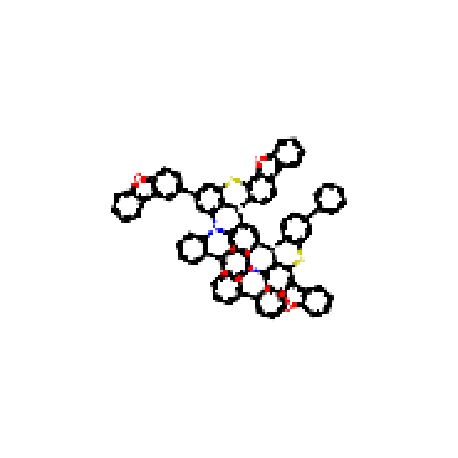 c1ccc(-c2ccc3c(c2)Sc2c4c(cc5oc6ccccc6c25)N(c2ccccc2-c2ccccc2)c2cc5c(cc2B34)B2c3ccc4c(oc6ccccc64)c3Sc3cc(-c4ccc6oc7ccccc7c6c4)cc(c32)N5c2ccccc2-c2ccccc2)cc1